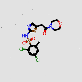 Cc1cc(Cl)cc(Cl)c1S(=O)(=O)Nc1ncc(CC(=O)N2CCOCC2)s1